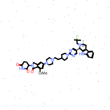 COc1cc(N2CCN(CCC3CCN(c4ncc([C@@H]5c6[nH]c7ccccc7c6C[C@@H](C)N5CC(C)(C)F)cn4)CC3)CC2)cc2c1C(=O)N(C1CCC(=O)NC1=O)C2